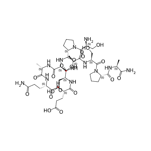 C[C@H](NC(=O)[C@@H]1CCCN1C(=O)[C@H](CO)NC(=O)[C@H](C)NC(=O)[C@H](CC(=O)O)NC(=O)[C@H](CCC(=O)O)NC(=O)[C@H](CCC(N)=O)NC(=O)[C@H](C)NC(=O)[C@H](CO)NC(=O)[C@@H]1CCCN1C(=O)[C@@H](N)CO)C(N)=O